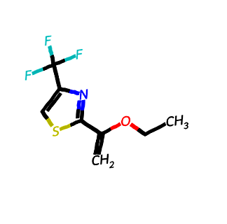 C=C(OCC)c1nc(C(F)(F)F)cs1